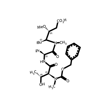 CC[C@H](C)C([C@@H](CC(=O)O)OC)N(C)C(=O)[C@@H](NC(=O)[C@H]([C@@H](C)O)N(C)C(=O)OCc1ccccc1)C(C)C